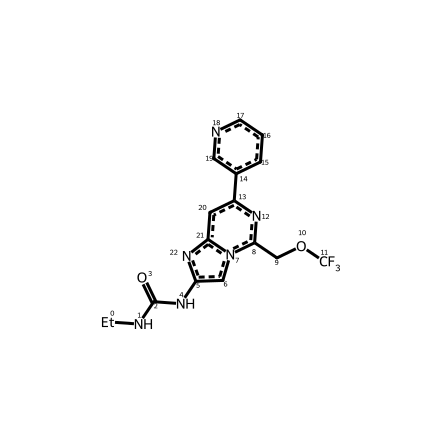 CCNC(=O)Nc1cn2c(COC(F)(F)F)nc(-c3cccnc3)cc2n1